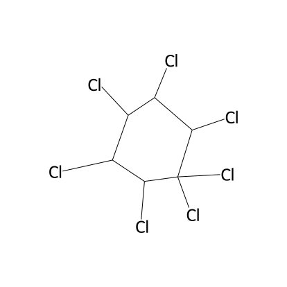 ClC1C(Cl)C(Cl)C(Cl)(Cl)C(Cl)C1Cl